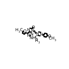 COc1ccc(N2CCN(CCn3c(=O)cnc4c(-c5ccc(C)o5)nc(N)nc43)C(C)C2)cc1